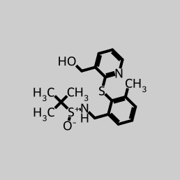 Cc1cccc(CN[S+]([O-])C(C)(C)C)c1Sc1ncccc1CO